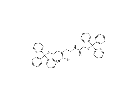 NC(Br)N(CCNC(=O)CSC(c1ccccc1)(c1ccccc1)c1ccccc1)CCSC(c1ccccc1)(c1ccccc1)c1ccccc1